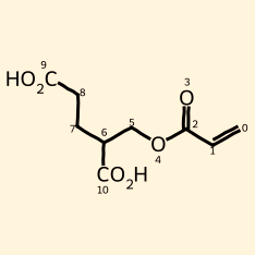 C=CC(=O)OCC(CCC(=O)O)C(=O)O